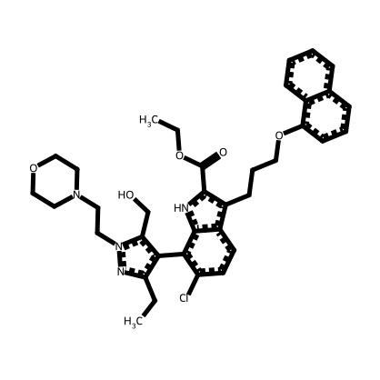 CCOC(=O)c1[nH]c2c(-c3c(CC)nn(CCN4CCOCC4)c3CO)c(Cl)ccc2c1CCCOc1cccc2ccccc12